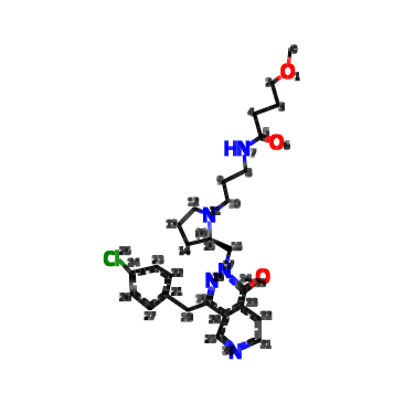 COCCCC(=O)NCCCN1CCC[C@@H]1Cn1nc(Cc2ccc(Cl)cc2)c2cnccc2c1=O